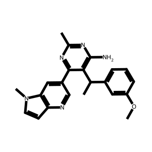 COc1cccc(C(C)c2c(N)nc(C)nc2-c2cnc3ccn(C)c3c2)c1